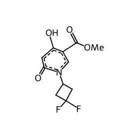 COC(=O)c1cn(C2CC(F)(F)C2)c(=O)cc1O